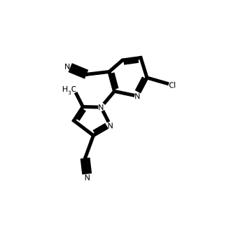 Cc1cc(C#N)nn1-c1nc(Cl)ccc1C#N